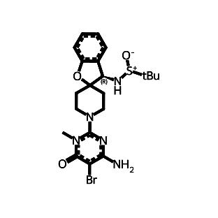 Cn1c(N2CCC3(CC2)Oc2ccccc2[C@H]3N[S+]([O-])C(C)(C)C)nc(N)c(Br)c1=O